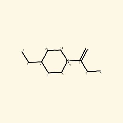 C=C(CC)N1CCC(CC)CC1